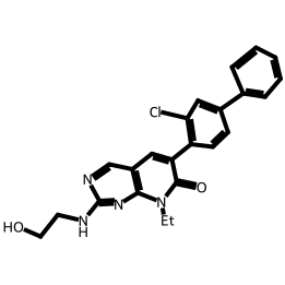 CCn1c(=O)c(-c2ccc(-c3ccccc3)cc2Cl)cc2cnc(NCCO)nc21